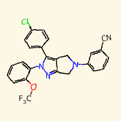 N#Cc1cccc(N2Cc3nn(-c4ccccc4OC(F)(F)F)c(-c4ccc(Cl)cc4)c3C2)c1